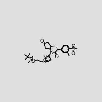 Cc1cc([C@@H](C[C@H]2CCC(=O)C2)C(=O)Nc2ccn(CCO[Si](C)(C)C(C)(C)C)n2)ccc1S(C)(=O)=O